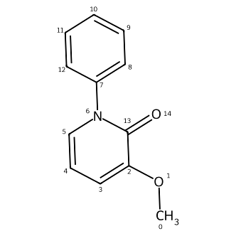 COc1cccn(-c2ccccc2)c1=O